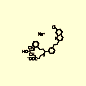 CC(C)(O)Cc1ccccc1CCC(SCCC(=O)[O-])c1cccc(C=Cc2ccc3ccc(Cl)cc3n2)c1.[Na+]